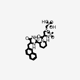 CS(=O)(=O)NC(CSCP(=O)(O)O)C(=O)N1CCCCC1C(=O)NC(Cc1ccc2ccccc2c1)C(N)=O